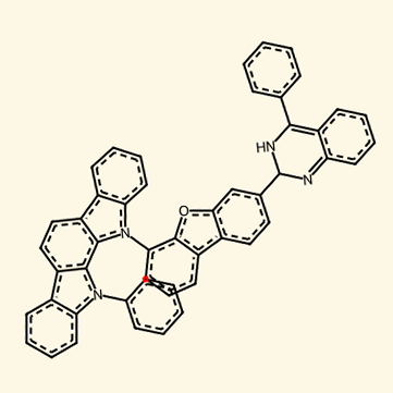 c1ccc(C2=c3ccccc3=NC(c3ccc4c(c3)oc3c(-n5c6ccccc6c6ccc7c8ccccc8n(-c8ccccc8)c7c65)cccc34)N2)cc1